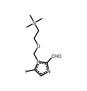 C[Si](C)(C)CCOCn1c(I)cnc1C=O